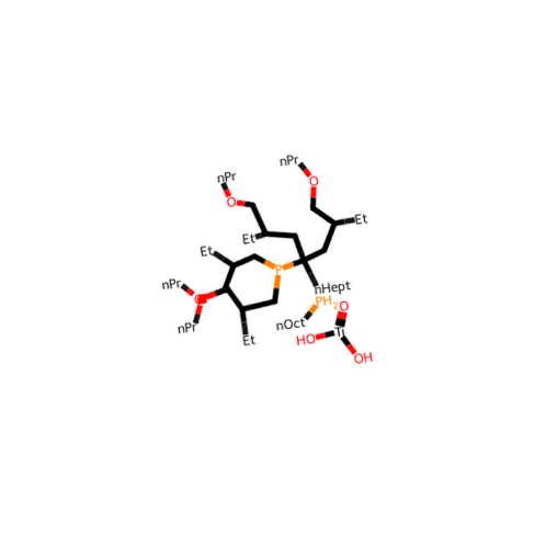 CCCCCCCC(CC(CC)COCCC)(CC(CC)COCCC)P(CC(CC)COCCC)CC(CC)COCCC.CCCCCCCCP.[O]=[Ti]([OH])[OH]